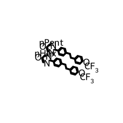 CCCCCCOc1cnc(-c2ccc(CCc3ccc(OC(F)(F)F)cc3)cc2)nc1.CCCCCOc1cnc(-c2ccc(CCc3ccc(OC(F)(F)F)cc3)cc2)nc1